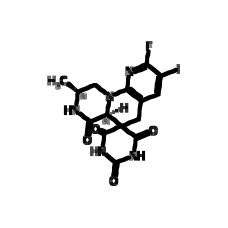 C[C@H]1CN2c3nc(F)c(I)cc3CC3(C(=O)NC(=O)NC3=O)[C@H]2C(=O)N1